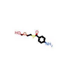 Nc1ccc(C(=O)SCCOCO)cc1